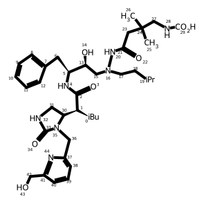 CC[C@H](C)[C@H](C(=O)N[C@@H](Cc1ccccc1)[C@@H](O)CN(CCC(C)C)NC(=O)CC(C)(C)CNC(=O)O)C1CNC(=O)N1Cc1cccc(CO)n1